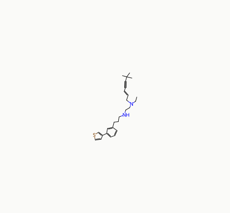 CCN(CC=CC#CC(C)(C)C)CCNCCCc1cccc(-c2ccsc2)c1